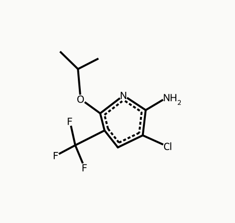 CC(C)Oc1nc(N)c(Cl)cc1C(F)(F)F